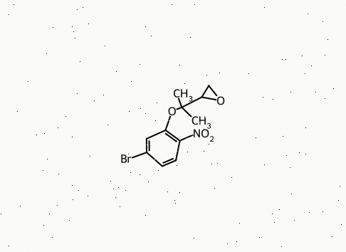 CC(C)(Oc1cc(Br)ccc1[N+](=O)[O-])C1CO1